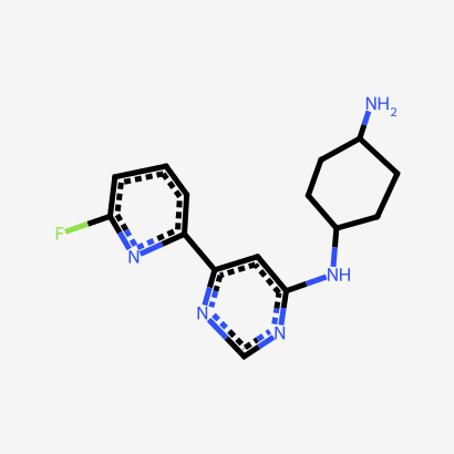 NC1CCC(Nc2cc(-c3cccc(F)n3)ncn2)CC1